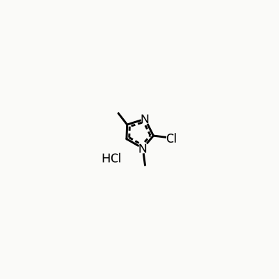 Cc1cn(C)c(Cl)n1.Cl